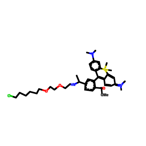 COC(=O)c1ccc(C(C)NCCOCCOCCCCCCCl)cc1C1=C2C=CC(=[N+](C)C)C=C2S(C)(C)c2cc(N(C)C)ccc21